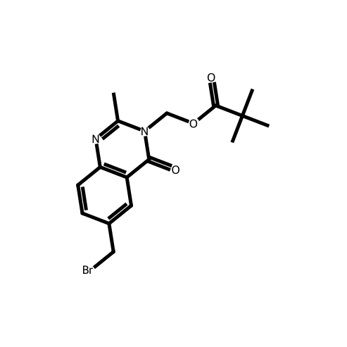 Cc1nc2ccc(CBr)cc2c(=O)n1COC(=O)C(C)(C)C